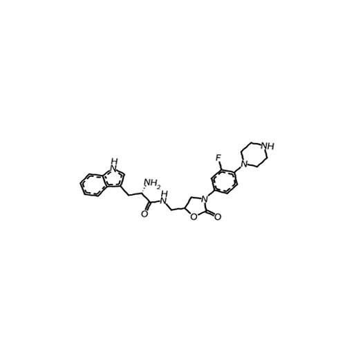 N[C@@H](Cc1c[nH]c2ccccc12)C(=O)NCC1CN(c2ccc(N3CCNCC3)c(F)c2)C(=O)O1